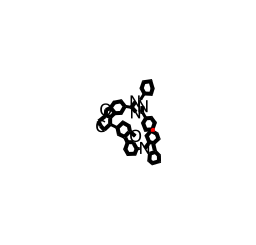 c1ccc(-c2nc(-c3ccccc3)nc(-c3ccc4oc5cccc(-c6ccc7oc8c(-n9c%10ccccc%10c%10ccccc%109)cccc8c7c6)c5c4c3)n2)cc1